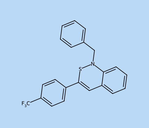 FC(F)(F)c1ccc(C2=Cc3ccccc3N(Cc3ccccc3)S2)cc1